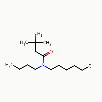 CCCCCCN(CCCC)C(=O)CC(C)(C)C